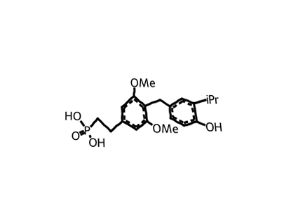 COc1cc(CCP(=O)(O)O)cc(OC)c1Cc1ccc(O)c(C(C)C)c1